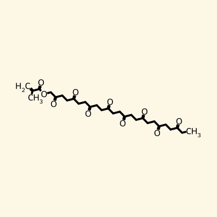 C=C(C)C(=O)OCC(=O)CCC(=O)CCC(=O)CCC(=O)CCC(=O)CCC(=O)CCC(=O)CCC(=O)CC